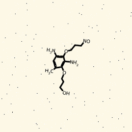 Cc1cc(N)c(OCCCN=O)c(N)c1OCCCO